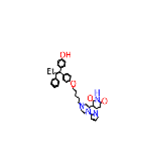 CC/C(=C(\c1ccc(O)cc1)c1ccc(OCCCCCN2CCN(C3=NCC=C3)C(C3CCC(=O)NC3=O)C2)cc1)c1ccccc1